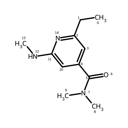 CCc1cc(C(=O)N(C)C)cc(NC)n1